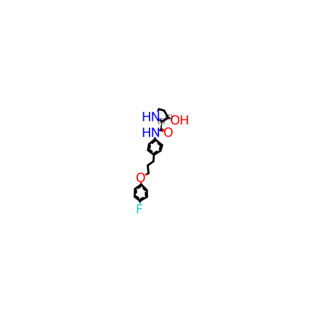 O=C(Nc1ccc(CCCOc2ccc(F)cc2)cc1)[C@H]1NCC[C@@H]1O